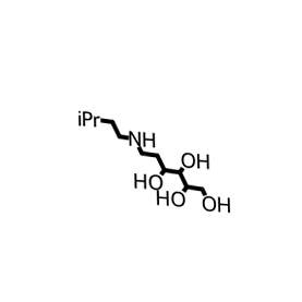 CC(C)CCNCCC(O)C(O)C(O)CO